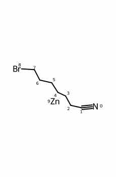 N#CCCCCCCBr.[Zn]